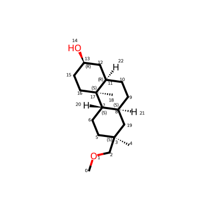 COC[C@@]1(C)CC[C@H]2[C@@H](CC[C@@H]3C[C@H](O)CC[C@@]32C)C1